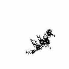 Cc1c(Nc2nc(C(F)(F)F)nc3cc(CN4CCC(O)C4)cnc23)cccc1-c1cccc(-c2nc3cc(C=O)cc(C#N)c3o2)c1C